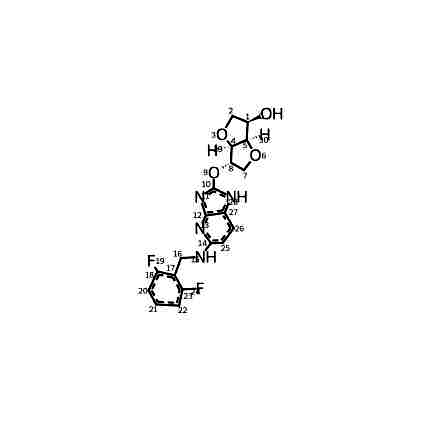 O[C@@H]1CO[C@H]2[C@@H]1OC[C@@H]2Oc1nc2nc(NCc3c(F)cccc3F)ccc2[nH]1